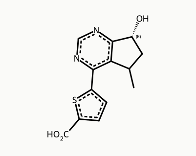 CC1C[C@@H](O)c2ncnc(-c3ccc(C(=O)O)s3)c21